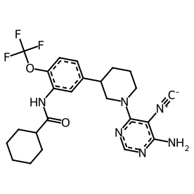 [C-]#[N+]c1c(N)ncnc1N1CCCC(c2ccc(OC(F)(F)F)c(NC(=O)C3CCCCC3)c2)C1